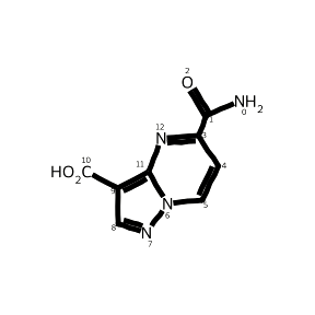 NC(=O)c1ccn2ncc(C(=O)O)c2n1